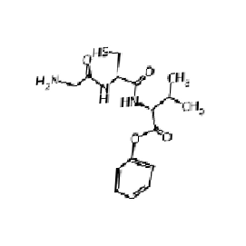 CC(C)[C@H](NC(=O)[C@H](CS)NC(=O)CN)C(=O)Oc1ccccc1